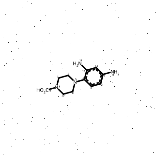 Nc1ccc(N2CCN(C(=O)O)CC2)c(N)c1